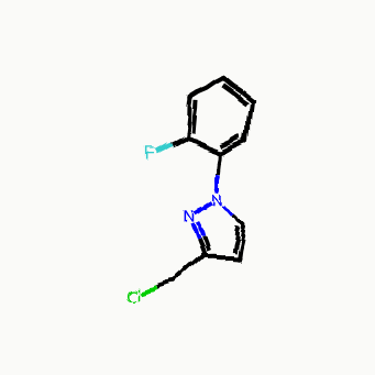 Fc1ccccc1-n1ccc(CCl)n1